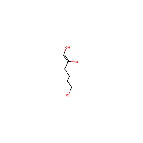 OC=C(O)CCCCO